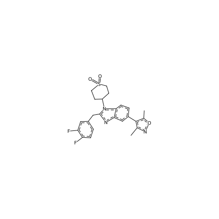 Cc1noc(C)c1-c1ccc2c(c1)nc(Cc1ccc(F)c(F)c1)n2C1CCS(=O)(=O)CC1